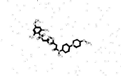 COc1cc(C)c(S(=O)(=O)Cc2noc(CC(=O)N(C)C3CCC(N4CCC(OC)CC4)CC3)n2)c(C)c1